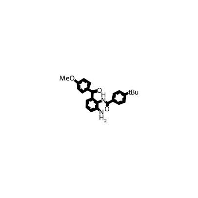 COc1ccc(C(=O)c2cccc(N)c2NC(=O)c2ccc(C(C)(C)C)cc2)cc1